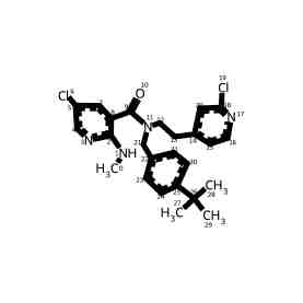 CNc1ncc(Cl)cc1C(=O)N(CCc1ccnc(Cl)c1)Cc1ccc(C(C)(C)C)cc1